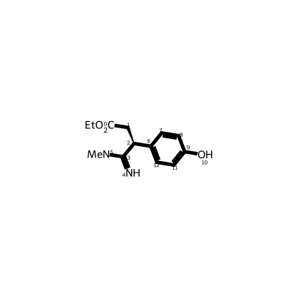 CCOC(=O)C[C@H](C(=N)NC)c1ccc(O)cc1